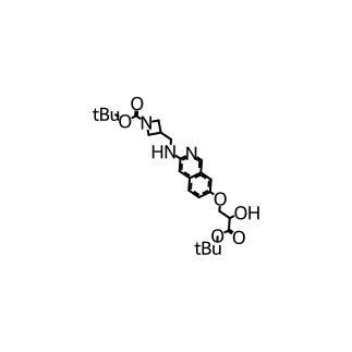 CC(C)(C)OC(=O)C(O)COc1ccc2cc(NCC3CN(C(=O)OC(C)(C)C)C3)ncc2c1